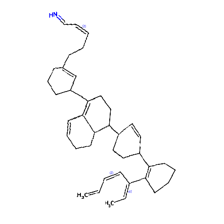 C=C/C=C\C(=C/C)C1=C(C2C=CC(C3CCC(C4C=C(CC/C=C\C=N)CCC4)=C4C=CCCC43)CC2)CCCC1